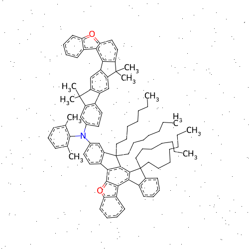 CCCCCCCC1(CCCCCCC)c2cc(N(c3ccc4c(c3)C(C)(C)c3cc5c(cc3-4)C(C)(C)c3ccc4oc6ccccc6c4c3-5)c3c(C)cccc3C)ccc2-c2c1c1c(c3c2oc2ccccc23)-c2ccccc2C1(CCCCCCC)CCCCCCC